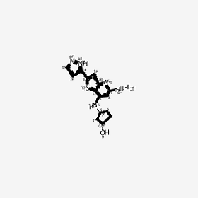 Nc1cc(N[C@@H]2CC[C@H](O)C2)c2sc(-c3ccn[nH]3)cc2n1